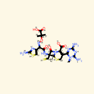 C[n+]1c(N)nc(N)nc1C1=C(C(=O)[O-])N2C(=O)C(C=S)(NC(=O)/C(=N\OC(C)(C)C(=O)O)c3csc(N)n3)[C@@H]2SC1